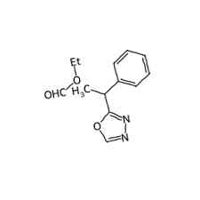 CC(c1ccccc1)c1nnco1.CCOC=O